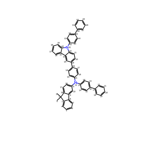 CC1(C)c2ccccc2-c2cc(N(c3ccc(-c4ccccc4)cc3)c3ccc(-c4ccc5c(c4)c4ccccc4n5-c4ccc(-c5ccccc5)cc4)cc3)ccc21